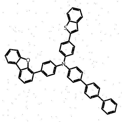 c1ccc(-c2ccc(-c3ccc(N(c4ccc(-c5cc6ccccc6s5)cc4)c4ccc(-c5cccc6c5oc5ccccc56)cc4)cc3)cc2)cc1